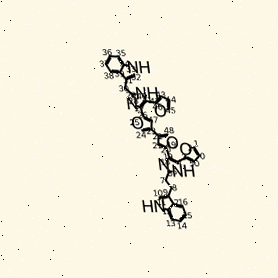 c1coc(-c2[nH]c(CCc3c[nH]c4ccccc34)nc2-c2cc(-c3coc(-c4nc(Cc5c[nH]c6ccccc56)[nH]c4-c4ccco4)c3)co2)c1